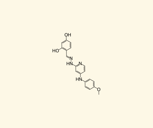 COc1ccc(Nc2ccnc(N/N=C/c3ccc(O)cc3O)c2)cc1